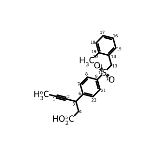 CC#CC(CC(=O)O)c1ccc(S(=O)(=O)Cc2ccccc2C)cc1